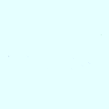 CC(C)ON1C=C(OC(=O)CCNc2n[n+]([O-])c3cc(Br)ccc3[n+]2[O-])CC1